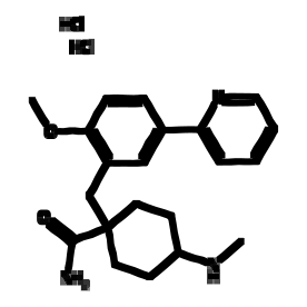 CNC1CCC(Cc2cc(-c3ccccn3)ccc2OC)(C(N)=O)CC1.Cl.Cl